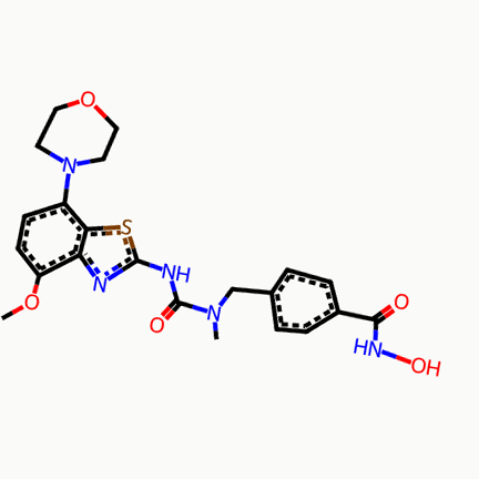 COc1ccc(N2CCOCC2)c2sc(NC(=O)N(C)Cc3ccc(C(=O)NO)cc3)nc12